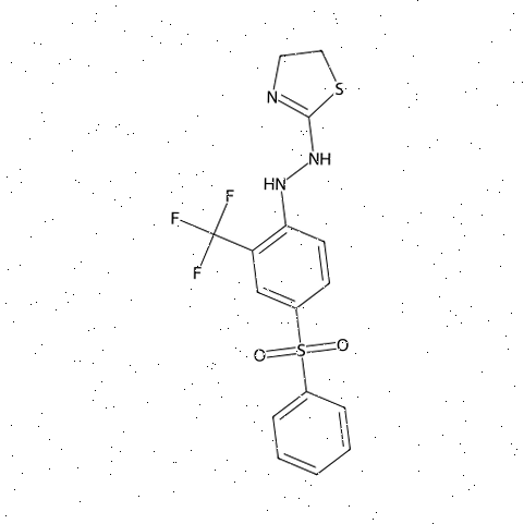 O=S(=O)(c1ccccc1)c1ccc(NNC2=NCCS2)c(C(F)(F)F)c1